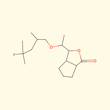 CC(COC(C)C1OC(=O)C2CCCC21)CC(C)(C)I